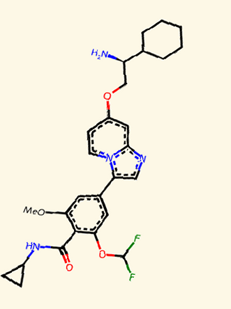 COc1cc(-c2cnc3cc(OC[C@@H](N)C4CCCCC4)ccn23)cc(OC(F)F)c1C(=O)NC1CC1